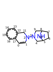 C1=CN(N2CC3CCC(C2)N3)Cc2ccccc21